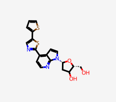 OC[C@H]1O[C@@H](n2ccc3c(-c4ncc(-c5cccs5)s4)ccnc32)CC1O